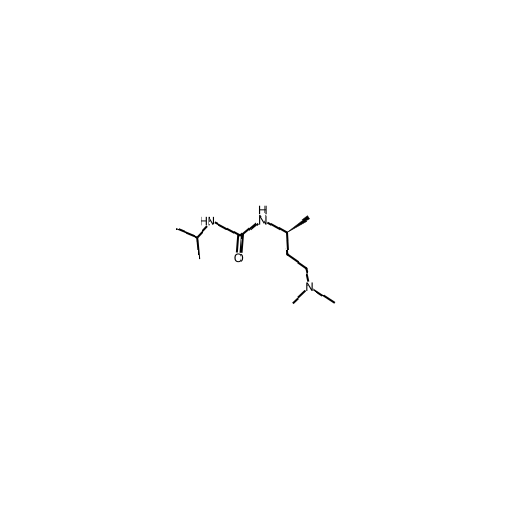 CC(C)NC(=O)N[C@@H](C)CCN(C)C